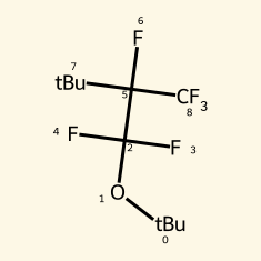 CC(C)(C)OC(F)(F)C(F)(C(C)(C)C)C(F)(F)F